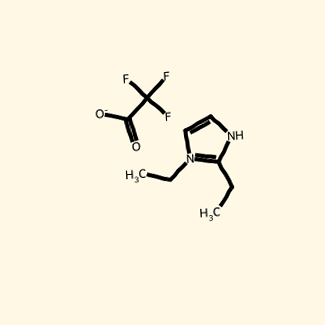 CCc1[nH]cc[n+]1CC.O=C([O-])C(F)(F)F